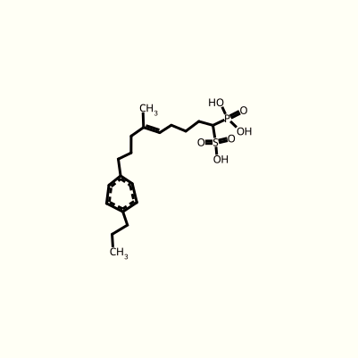 CCCc1ccc(CCCC(C)=CCCCC(P(=O)(O)O)S(=O)(=O)O)cc1